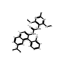 CSc1nc(C)nc(SC)c1NC(=O)Nc1cnc2ccc(C(C)C)cc2c1-c1ccccc1Cl